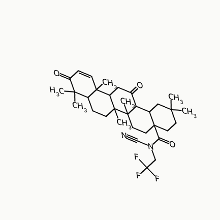 CC1(C)CCC2(C(=O)N(C#N)CC(F)(F)F)CCC3(C)C(C(=O)CC4C5(C)C=CC(=O)C(C)(C)C5CCC43C)C2C1